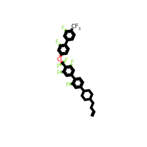 C=CCCC1CCC(c2ccc(-c3cc(F)c(C(F)(F)Oc4ccc(-c5ccc(C(F)(F)F)c(F)c5)c(F)c4)c(F)c3)c(F)c2)CC1